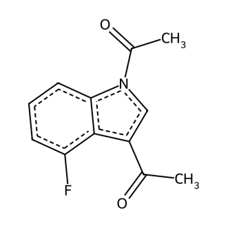 CC(=O)c1cn(C(C)=O)c2cccc(F)c12